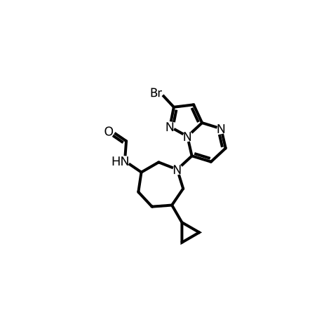 O=CNC1CCC(C2CC2)CN(c2ccnc3cc(Br)nn23)C1